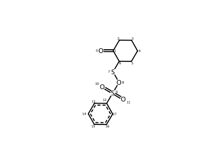 O=C1CCCCC1SOS(=O)(=O)c1ccccc1